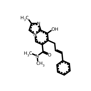 Cc1cn2cc(C(=O)N(C)C)c(CC=Cc3ccccc3)c(O)c2n1